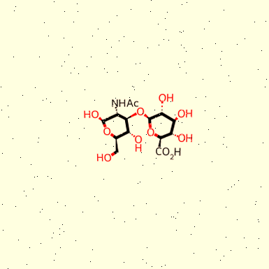 CC(=O)N[C@@H]1[C@@H](O[C@@H]2O[C@H](C(=O)O)[C@@H](O)[C@H](O)[C@H]2O)[C@H](O)[C@@H](CO)O[C@H]1O